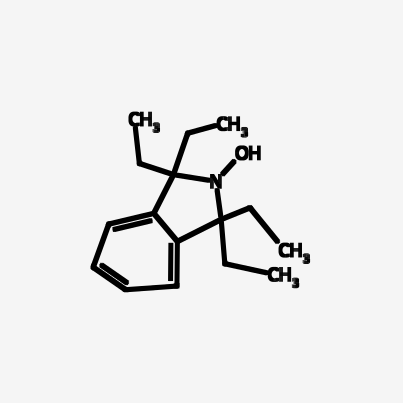 CCC1(CC)c2ccccc2C(CC)(CC)N1O